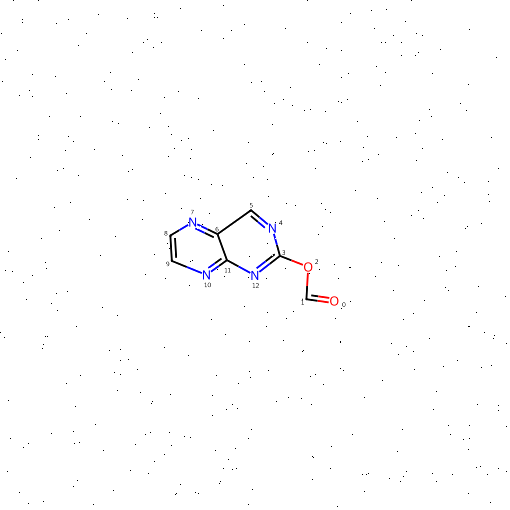 O=[C]Oc1ncc2nccnc2n1